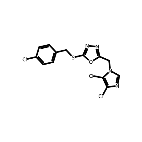 Clc1ccc(CSc2nnc(Cn3cnc(Cl)c3Cl)o2)cc1